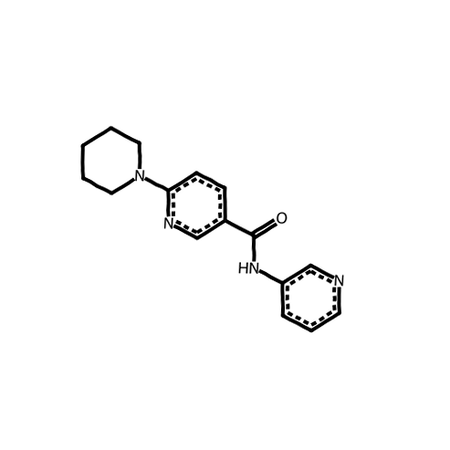 O=C(Nc1cccnc1)c1ccc(N2CCCCC2)nc1